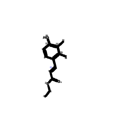 CCOC(=O)/C=C/c1ccc(O)c(C)c1C